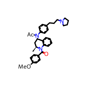 COc1ccc(C(=O)N2c3ccccc3[C@H](N(C(C)=O)c3ccc(CCCN4CCCC4)cc3)C[C@@H]2C)cc1